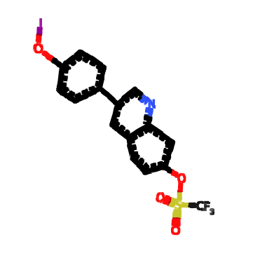 O=S(=O)(Oc1ccc2cc(-c3ccc(OI)cc3)cnc2c1)C(F)(F)F